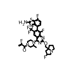 C=C(F)C(=O)N1CCN(c2nc(OCC34CCCN3CC(F)C4)nc3c(F)c(-c4ccc(F)c5sc(N)nc45)c(C(F)(F)F)cc23)C(C)C1